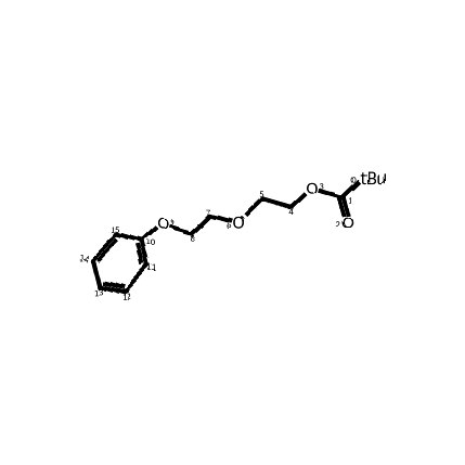 CC(C)(C)C(=O)OCCOCCOc1ccccc1